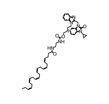 CC/C=C\C/C=C\C/C=C\C/C=C\C/C=C\C/C=C\CCC(=O)NCCNC(=O)OCCCCn1c(Cn2c(=O)n(C3CC3)c3ccncc32)nc2ccccc21